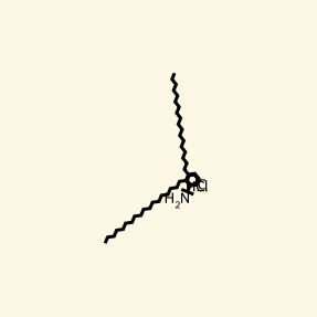 CCCCCCCCCCCCCCCCCCc1cccc(C(C)(C)N)c1CCCCCCCCCCCCCCCCCC.Cl.[C]